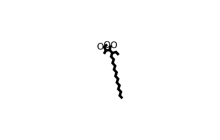 CCCCCCCCCCCCCCC(CC)C1C(=O)OC(=O)C1C